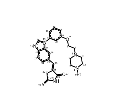 CCN1CCN(CCOc2cccc(-n3cnc4ccc(/C=C5\SC(=S)NC5=O)cc43)c2)CC1